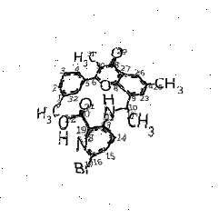 Cc1cccc(-c2oc3c(C(C)Nc4ccc(Br)nc4C(=O)O)cc(C)cc3c(=O)c2C)c1